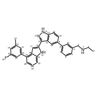 CCNCc1cccc(-c2ccc3[nH]nc(-c4cc5c(-c6cc(C)cc(F)c6)cncc5[nH]4)c3c2)c1